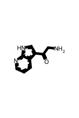 NCC(=O)c1c[nH]c2ncccc12